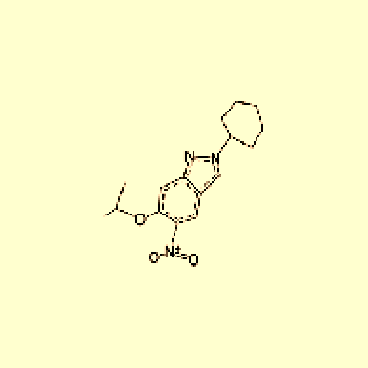 CC(C)Oc1cc2nn(C3CCCCC3)cc2cc1[N+](=O)[O-]